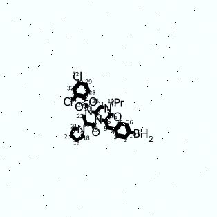 Bc1ccc(CC2C(=O)N(C(C)C)CC3N2C(=O)C(N2CCCC2)CN3S(=O)(=O)c2ccc(Cl)cc2Cl)cc1